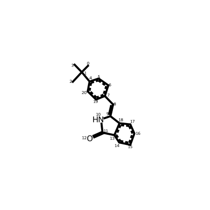 CC(C)(C)c1ccc(C=C2NC(=O)c3ccccc32)cc1